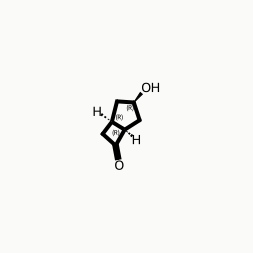 O=C1C[C@H]2C[C@@H](O)C[C@@H]12